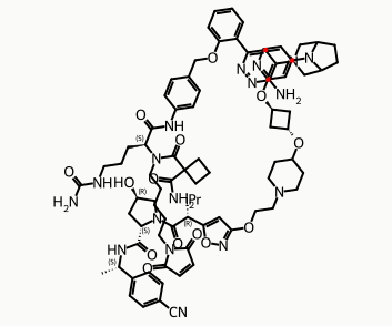 CC(C)[C@@H](C(=O)N1C[C@H](O)C[C@H]1C(=O)N[C@@H](C)c1ccc(C#N)cc1)c1cc(OCCN2CCC(O[C@H]3C[C@H](Oc4cc(N5C6CCC5CN(c5cc(-c7ccccc7OCc7ccc(NC(=O)[C@H](CCCNC(N)=O)N(CCCCCN8C(=O)C=CC8=O)C(=O)C8(C(N)=O)CCC8)cc7)nnc5N)C6)ccn4)C3)CC2)no1